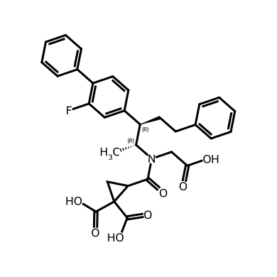 C[C@H]([C@H](CCc1ccccc1)c1ccc(-c2ccccc2)c(F)c1)N(CC(=O)O)C(=O)C1CC1(C(=O)O)C(=O)O